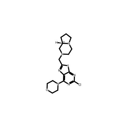 Clc1nc(N2CCOCC2)c2nc(CN3CCN4CCC[C@H]4C3)sc2n1